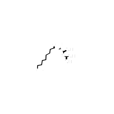 CCCCCCCCCCCCCCCCCC(=O)[O][AlH][C](=N)NC(=N)N